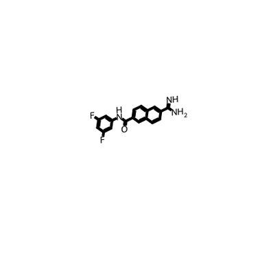 N=C(N)c1ccc2cc(C(=O)Nc3cc(F)cc(F)c3)ccc2c1